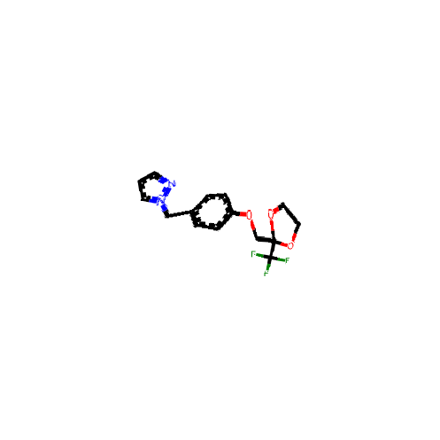 FC(F)(F)C1(COc2ccc(Cn3cccn3)cc2)OCCO1